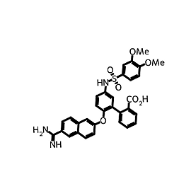 COc1ccc(S(=O)(=O)Nc2ccc(Oc3ccc4cc(C(=N)N)ccc4c3)c(-c3ccccc3C(=O)O)c2)cc1OC